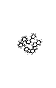 c1ccc(-c2ccc(N(c3ccc4sc5ccc6sc7c8ccccc8ccc7c6c5c4c3)c3cccc4oc5ccccc5c34)cc2)cc1